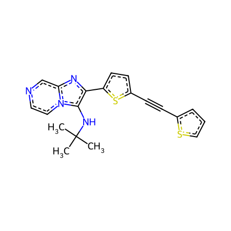 CC(C)(C)Nc1c(-c2ccc(C#Cc3cccs3)s2)nc2cnccn12